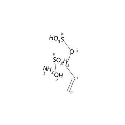 C=CCOS(=O)(=O)O.N.O=S(=O)(O)O